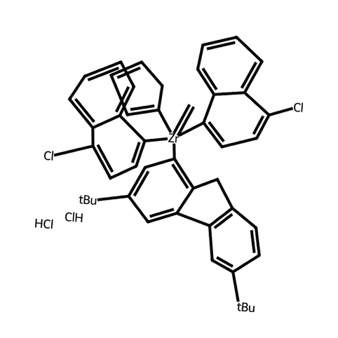 Cl.Cl.[CH2]=[Zr]([C]1=CC=CC1)([c]1cc(C(C)(C)C)cc2c1Cc1ccc(C(C)(C)C)cc1-2)([c]1ccc(Cl)c2ccccc12)[c]1ccc(Cl)c2ccccc12